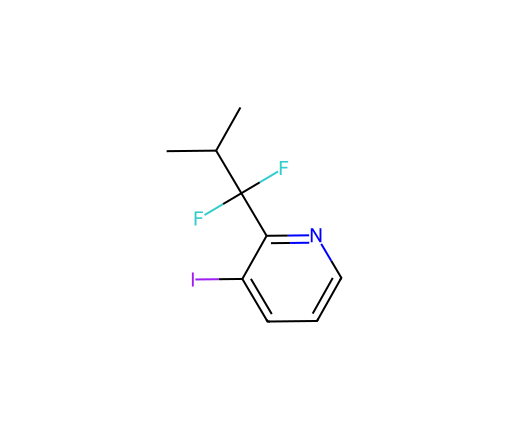 CC(C)C(F)(F)c1ncccc1I